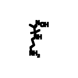 CC(=NO)C(C)(C)NCCCN